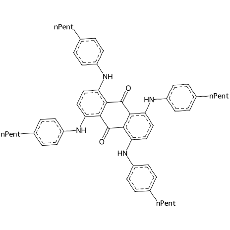 CCCCCc1ccc(Nc2ccc(Nc3ccc(CCCCC)cc3)c3c2C(=O)c2c(Nc4ccc(CCCCC)cc4)ccc(Nc4ccc(CCCCC)cc4)c2C3=O)cc1